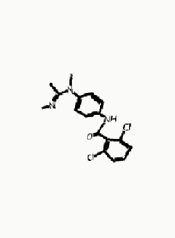 CN=C(C)N(C)c1ccc(NC(=O)c2c(Cl)cccc2Cl)cc1